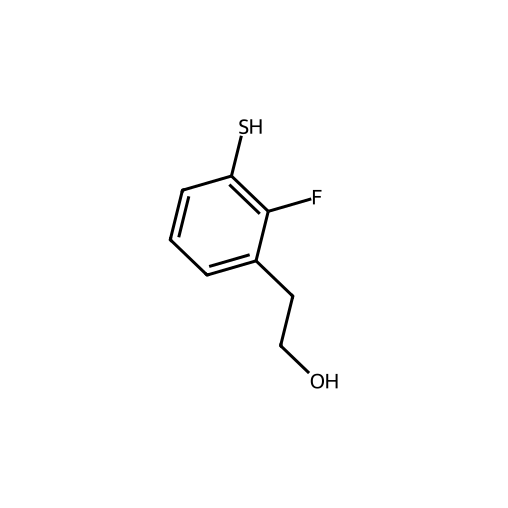 OCCc1cccc(S)c1F